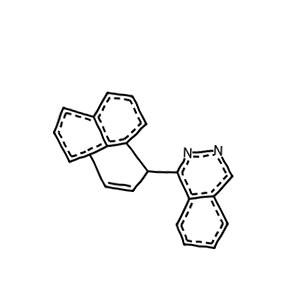 C1=CC(c2nncc3ccccc23)c2cccc3cccc1c23